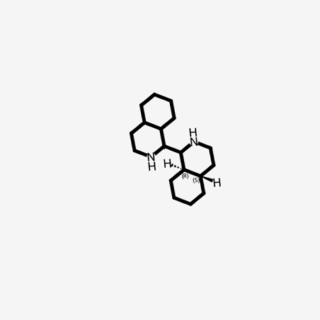 C1CCC2[C](C3NCC[C@@H]4CCCC[C@@H]34)NCCC2C1